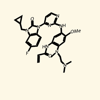 C=CC(=O)Nc1cc(Nc2nccc(-n3c(=O)n(CC4CC4)c4cc(F)ccc43)n2)c(OC)cc1N(C)CCN(C)C